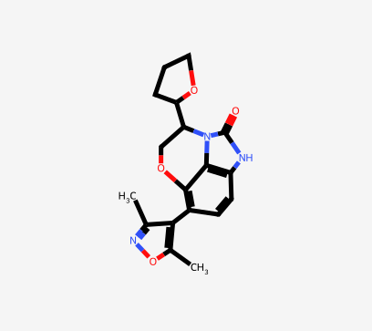 Cc1noc(C)c1-c1ccc2[nH]c(=O)n3c2c1OCC3C1CCCO1